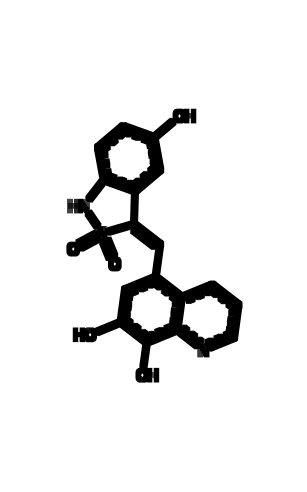 O=S1(=O)Nc2ccc(O)cc2C1=Cc1cc(O)c(O)c2ncccc12